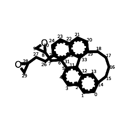 c1cc2ccc(CCC3CO3)c3c2cc1CCCCc1ccc2ccc(CCC4CO4)cc2c1-3